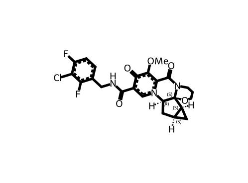 COc1c2n(cc(C(=O)NCc3ccc(F)c(Cl)c3F)c1=O)[C@@H]1C[C@@H]3C[C@@H]3[C@]13OCCCN3C2=O